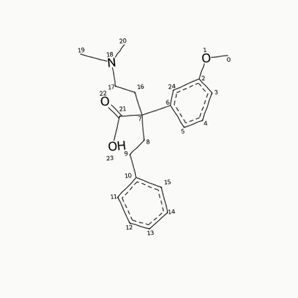 COc1cccc(C(CCc2ccccc2)(CCN(C)C)C(=O)O)c1